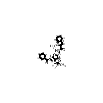 Cn1c(C(=O)NC[C@H]2OC[C@]3(CNC(=O)c4ccccc4)OC(C)(C)O[C@H]23)cc2ccccc21